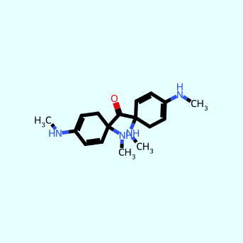 CNC1=CCC(NC)(C(=O)C2(NC)C=CC(NC)=CC2)C=C1